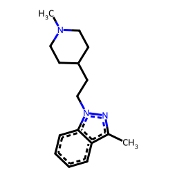 Cc1nn(CCC2CCN(C)CC2)c2ccccc12